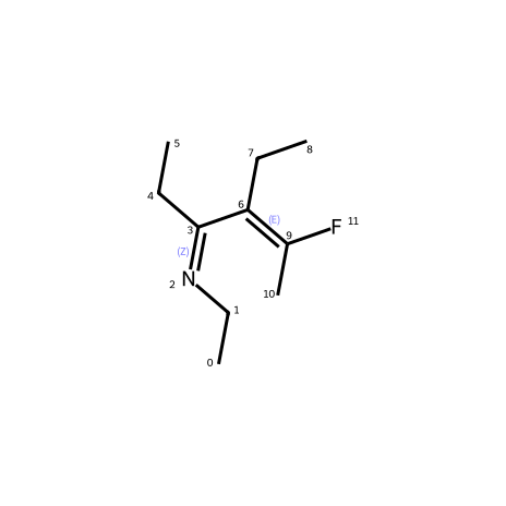 CC/N=C(CC)\C(CC)=C(/C)F